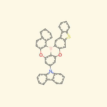 c1ccc2c3c(ccc2c1)Oc1cc(-n2c4ccccc4c4ccccc42)cc2c1B3c1cc3c(cc1O2)sc1ccccc13